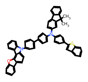 CC1(C)c2ccccc2-c2ccc(N(c3ccc(-c4ccc(-n5c6ccccc6c6c7oc8ccccc8c7ccc65)cc4)cc3)c3ccc(-c4cc5ccccc5s4)cc3)cc21